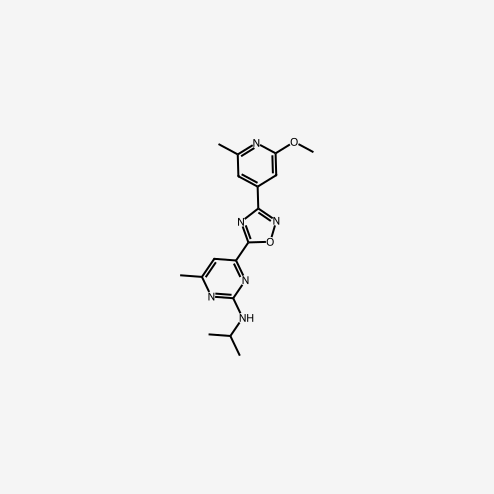 COc1cc(-c2noc(-c3cc(C)nc(NC(C)C)n3)n2)cc(C)n1